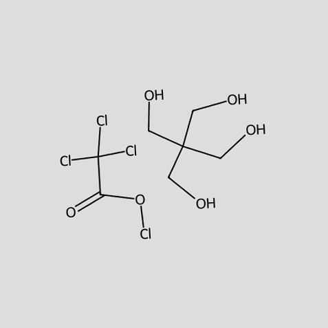 O=C(OCl)C(Cl)(Cl)Cl.OCC(CO)(CO)CO